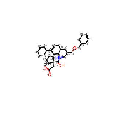 CCCCOC(=O)CC1(C(O)NCC(COCC2CC=CCC2)CC2CC=C(C3CC=CCC3)CC2)CCCC1